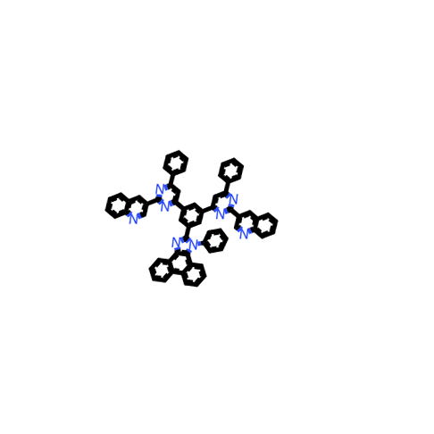 c1ccc(-c2cc(-c3cc(-c4cc(-c5ccccc5)nc(-c5cnc6ccccc6c5)n4)cc(-c4nc5c6ccccc6c6ccccc6c5n4-c4ccccc4)c3)nc(-c3cnc4ccccc4c3)n2)cc1